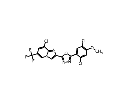 COc1cc(Cl)c(-c2nnc(-c3cn4cc(C(F)(F)F)cc(Cl)c4n3)o2)cc1Cl